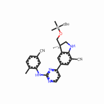 Cc1ccc(C#N)cc1Nc1nccc(-c2cc(C#N)c3c(c2)[C@@](C)(CO[Si](C)(C)C(C)(C)C)CN3)n1